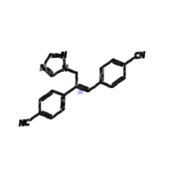 N#Cc1ccc(/C=C(\Cn2cncn2)c2ccc(C#N)cc2)cc1